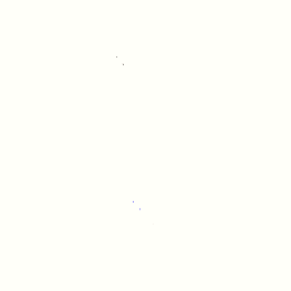 C=CN(CCCCCCCCCCCCCCCC)C(=O)OCC